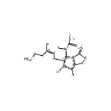 CCc1c(C)c2c(c(N(C)C(=O)C(F)(F)F)c1CC=C(C)CCC(=O)O)C(=O)OC2